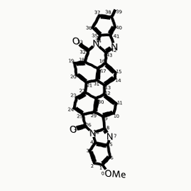 COc1ccc2c(c1)nc1c3ccc4c5ccc6c7c(ccc(c8ccc(c(=O)n21)c3c84)c57)c(=O)n1c2ccc(C)cc2nc61